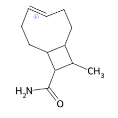 CC1C2CC/C=C/CCC2C1C(N)=O